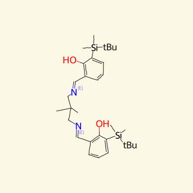 CC(C)(C/N=C/c1cccc([Si](C)(C)C(C)(C)C)c1O)C/N=C/c1cccc([Si](C)(C)C(C)(C)C)c1O